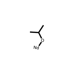 CC(C)[O][Nd]